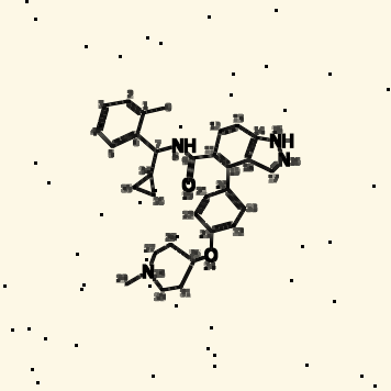 Cc1ccccc1C(NC(=O)c1ccc2[nH]ncc2c1-c1ccc(OC2CCN(C)CC2)cc1)C1CC1